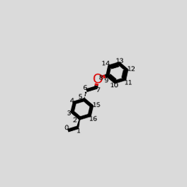 CC[C@H]1CC[C@H](CCOc2ccccc2)CC1